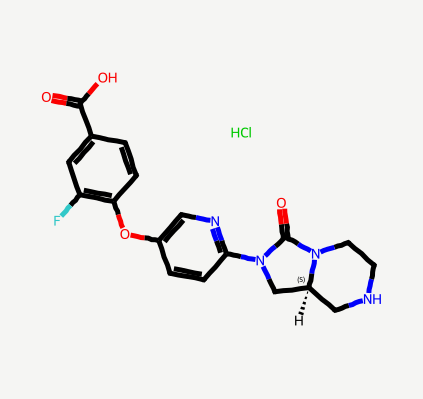 Cl.O=C(O)c1ccc(Oc2ccc(N3C[C@@H]4CNCCN4C3=O)nc2)c(F)c1